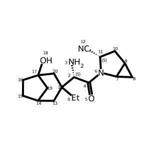 CCC1([C@H](N)C(=O)N2C3CC3C[C@H]2C#N)CC2CCC(O)(C2)C1